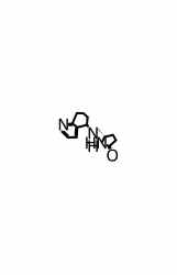 O=C1CC[C@@H](CNC2CCCc3ncccc32)N1